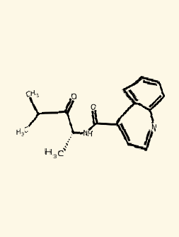 CC(C)C(=O)[C@@H](C)NC(=O)c1ccnc2ccccc12